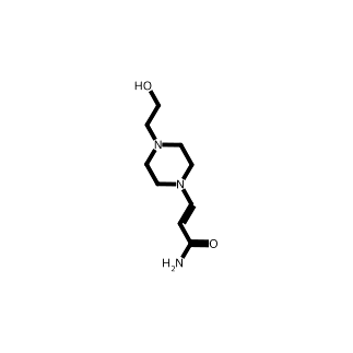 NC(=O)C=CN1CCN(CCO)CC1